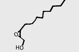 CCCCCCCCCC1O[C@@H]1CO